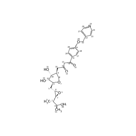 C[C@H]([C@@H]1O[C@H]1C[C@@H]1OC[C@H](CC(=O)CC(=O)c2ccc(OCc3ccncc3)cc2)[C@@H](O)[C@H]1O)[C@H](C)O